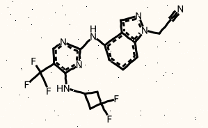 N#CCn1ncc2c(Nc3ncc(C(F)(F)F)c(NC4CC(F)(F)C4)n3)cccc21